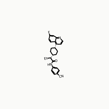 CCC(C(=O)Nc1ccc(C#N)cc1)[C@H]1CC[C@@H](c2ccnc3cc(F)ccc32)CC1